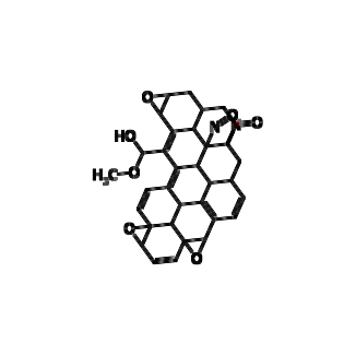 COC(O)C1=C2C3OC3CC3CCC4(N=O)CC5C=CC6=C7C8C(=C1C(C75)C4(N=O)C23)C=CC12OC1C=CC1(OC61)C82